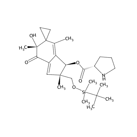 CC1=C2C(=C[C@@](C)(CO[Si](C)(C)C(C)(C)C)[C@@H]2OC(=O)[C@@H]2CCCN2)C(=O)[C@](C)(O)C12CC2